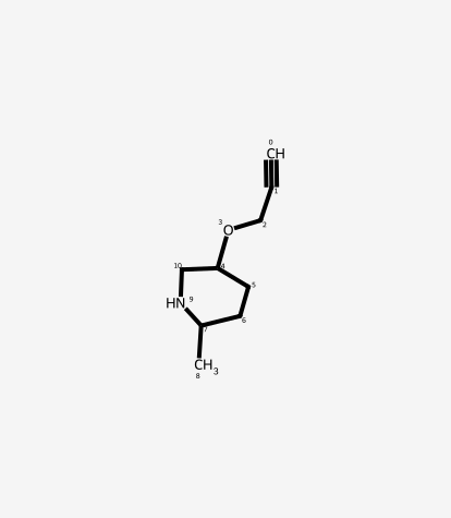 C#CCOC1CCC(C)NC1